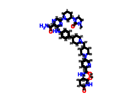 CN1CCN([C@@H]2CCCN(c3cnc(C(N)=O)c(Nc4ccc(C5CCN(CC6CCN(c7ccc(C(=O)N[C@H]8CCC(=O)NC8=O)nc7)CC6)CC5)cc4)n3)C2)C1=O